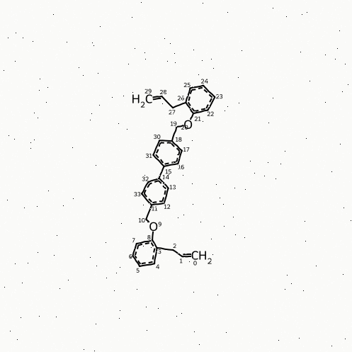 C=CCc1ccccc1OCc1ccc(-c2ccc(COc3ccccc3CC=C)cc2)cc1